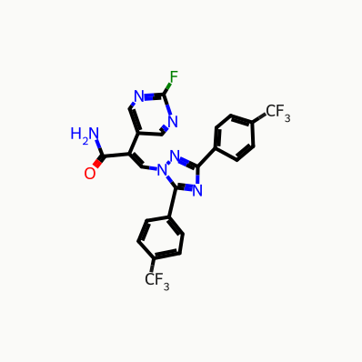 NC(=O)C(=Cn1nc(-c2ccc(C(F)(F)F)cc2)nc1-c1ccc(C(F)(F)F)cc1)c1cnc(F)nc1